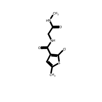 CNC(=O)CNC(=O)c1cc(C)sc1Cl